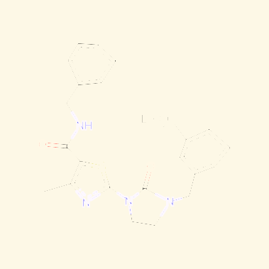 CCOC(=O)c1cccc(CN2CCN(c3nc(C)c(C(=O)NCc4ccccc4)s3)C2=O)c1